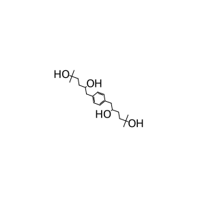 CC(C)(O)CCC(O)Cc1ccc(CC(O)CCC(C)(C)O)cc1